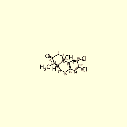 CN1C(=O)CC[C@]2(C)c3cc(Cl)c(Cl)cc3CC[C@@H]12